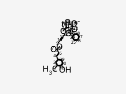 Cc1cc(/C=C/C(=O)OCC#CCOc2no[n+]([O-])c2S(=O)(=O)c2ccccc2)ccc1O